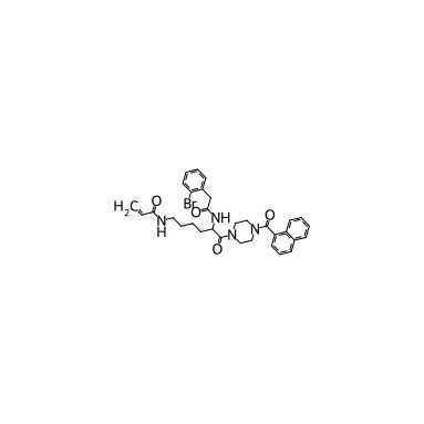 C=CC(=O)NCCCCC(NC(=O)Cc1ccccc1Br)C(=O)N1CCN(C(=O)c2cccc3ccccc23)CC1